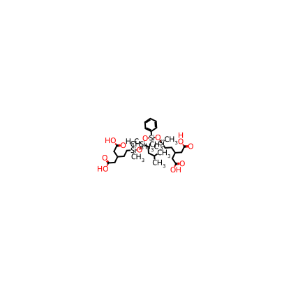 CC(C)CC[Si](C)(O[Si](C)(C)CCC(CC(=O)O)CC(=O)O)O[Si](C)(O[Si](C)(C)CCC(CC(=O)O)CC(=O)O)c1ccccc1